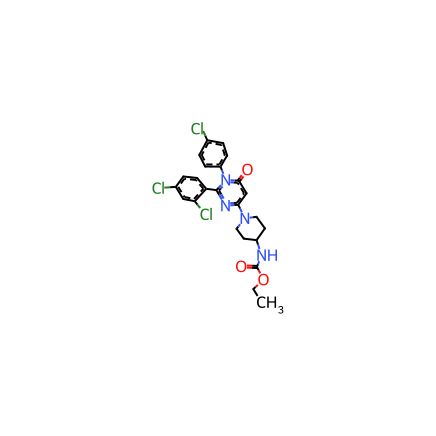 CCOC(=O)NC1CCN(c2cc(=O)n(-c3ccc(Cl)cc3)c(-c3ccc(Cl)cc3Cl)n2)CC1